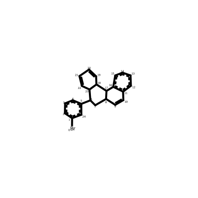 Brc1cccc(C2CC3C=Cc4ccccc4C3C3C=CC=CC23)c1